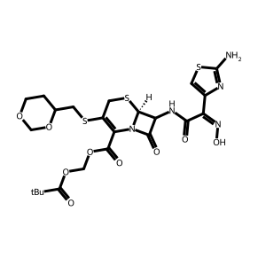 CC(C)(C)C(=O)OCOC(=O)C1=C(SCC2CCOCO2)CS[C@H]2C(NC(=O)/C(=N\O)c3csc(N)n3)C(=O)N12